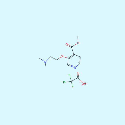 COC(=O)c1ccncc1OCCN(C)C.O=C(O)C(F)(F)F